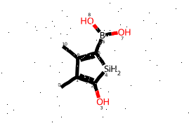 CC1=C(O)[SiH2]C(B(O)O)=C1C